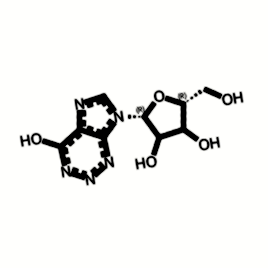 OC[C@H]1O[C@@H](n2cnc3c(O)nnnc32)C(O)C1O